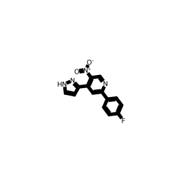 O=[N+]([O-])c1cnc(-c2ccc(F)cc2)cc1-c1cc[nH]n1